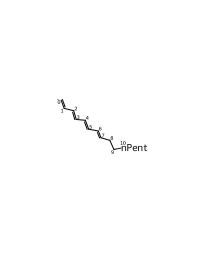 [CH]=CC=CC=CC=CCCCCCCC